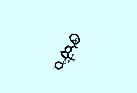 CC(c1ccc2ccc(O[C@H]3CC[C@@H](C)CC3)c(C(F)(F)F)c2c1)N1CC2CCCC1CCC2